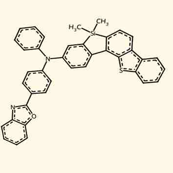 C[Si]1(C)c2cc(N(c3ccccc3)c3ccc(-c4nc5ccccc5o4)cc3)ccc2-c2c1ccc1c2sc2ccccc21